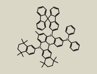 Cc1cc2c3c(c1)N(c1ccc4c(c1)C(C)(C)CCC4(C)C)c1cc4c(cc1B3c1ccc(N(c3ccccc3)c3ccccc3)cc1N2c1ccc2c(c1)C1(c3ccccc3-c3ccccc31)c1ccccc1-2)C(C)(C)CCC4(C)C